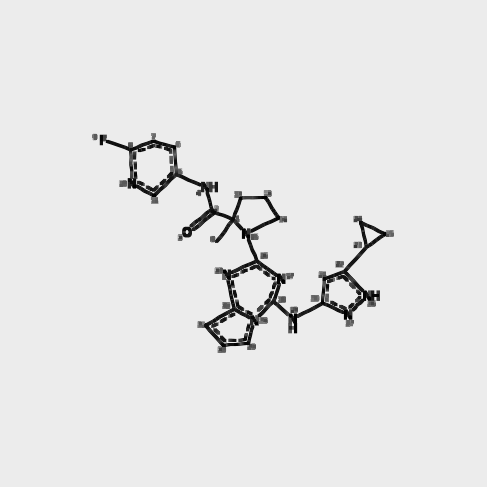 CC1(C(=O)Nc2ccc(F)nc2)CCCN1c1nc(Nc2cc(C3CC3)[nH]n2)n2cccc2n1